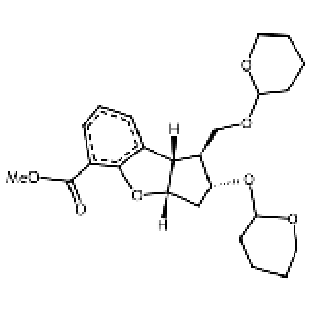 COC(=O)c1cccc2c1O[C@H]1C[C@@H](OC3CCCCO3)[C@H](COC3CCCCO3)[C@@H]21